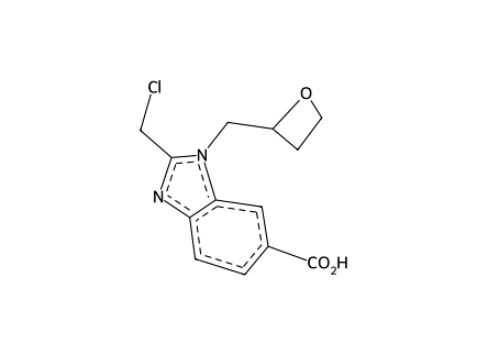 O=C(O)c1ccc2nc(CCl)n(CC3CCO3)c2c1